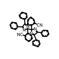 N#Cc1ccccc1C1(C2(c3ccccc3C#N)N=C(c3ccccc3)C(c3ccccc3)=N2)N=C(c2ccccc2)C(c2ccccc2)=N1